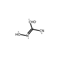 N#CC([C]=O)=NO